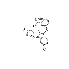 COC(=O)c1cccc(Sc2c(C)n(Cc3ccc(C(F)(F)F)nc3)c3cc(Cl)ccc23)c1